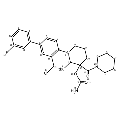 CC(C)(C)C1N(c2ccc(-c3cccc(F)c3)cc2CCl)CCCC1(OC(N)=O)C(=O)N1CCCCC1